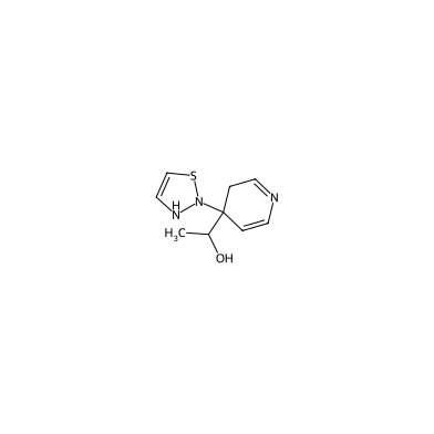 CC(O)C1(N2NC=CS2)C=CN=CC1